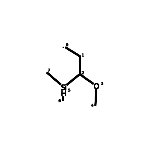 [CH2]CC(OC)[SiH](C)C